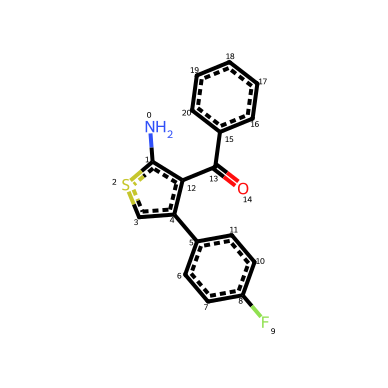 Nc1scc(-c2ccc(F)cc2)c1C(=O)c1ccccc1